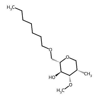 CCCCCCCOC[C@@H]1OC[C@H](C)[C@H](OC)[C@H]1O